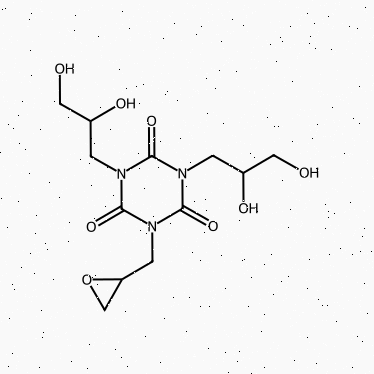 O=c1n(CC(O)CO)c(=O)n(CC2CO2)c(=O)n1CC(O)CO